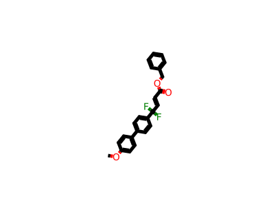 COc1ccc(-c2ccc(C(F)(F)C=CC(=O)OCc3ccccc3)cc2)cc1